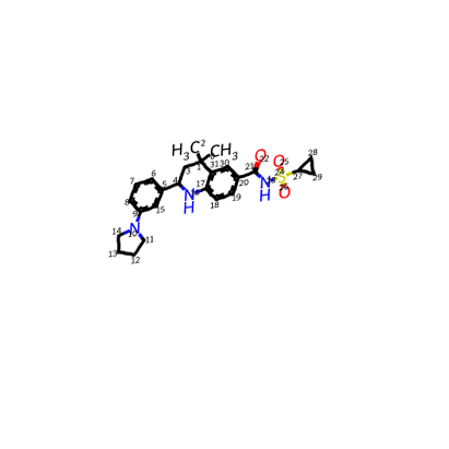 CC1(C)CC(c2cccc(N3CCCC3)c2)Nc2ccc(C(=O)NS(=O)(=O)C3CC3)cc21